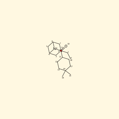 CCN1CC2CC(C1)N2C(=O)C1CCC(C)(C)CC1